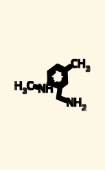 CNc1ccc(C)cc1CN